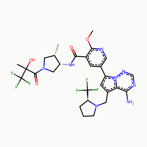 COc1ncc(-c2cc(CN3CCC[C@H]3C(F)(F)F)c3c(N)ncnn23)cc1C(=O)N[C@@H]1CN(C(=O)C(C)(O)C(F)(F)F)C[C@@H]1F